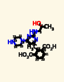 CC(O)CNc1nccc(N2CCNCC2)n1.Cc1c(C(=O)O)cccc1C(=O)O